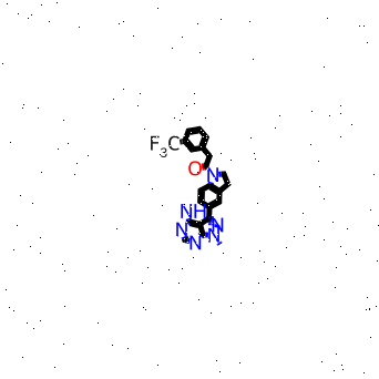 Cn1nc(-c2ccc3c(c2)CCN3C(=O)Cc2cccc(C(F)(F)F)c2)c2c(N)ncnc21